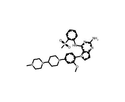 COc1cc(N2CCC(N3CCN(C)CC3)CC2)ccc1-n1ccc2nc(N)nc(Nc3ccccc3S(C)(=O)=O)c21